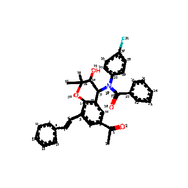 CC(=O)c1cc(C=Cc2ccccc2)c2c(c1)C(N(C(=O)c1ccccc1)c1ccc(F)cc1)C(O)C(C)(C)O2